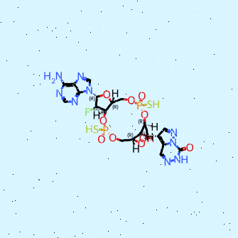 Nc1ncnc2c1ncn2[C@@H]1O[C@@H]2COP(=O)(S)O[C@@H]3[C@H](O)[C@@H](COP(=O)(S)O[C@H]2[C@H]1F)O[C@H]3c1cnn2c(=O)[nH]ncc12